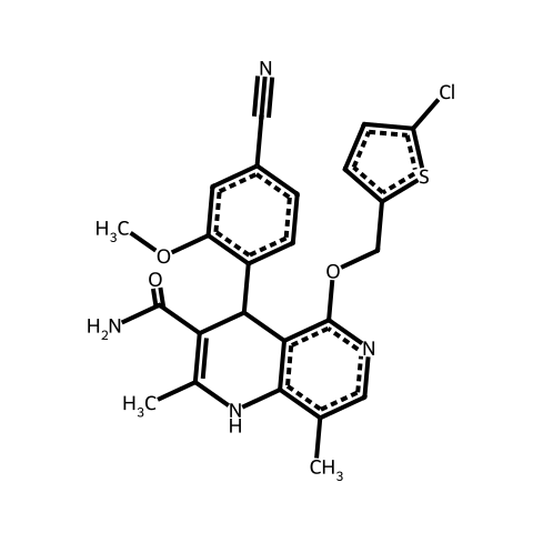 COc1cc(C#N)ccc1C1C(C(N)=O)=C(C)Nc2c(C)cnc(OCc3ccc(Cl)s3)c21